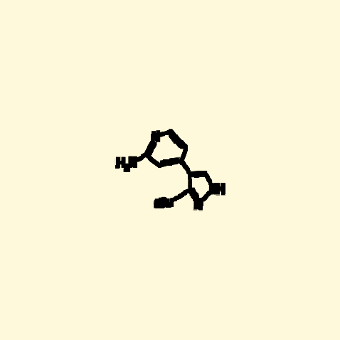 CC(C)(C)c1n[nH]cc1-c1ccnc(N)c1